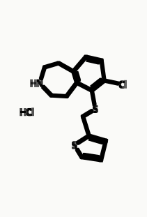 Cl.Clc1ccc2c(c1SCc1cccs1)CCNCC2